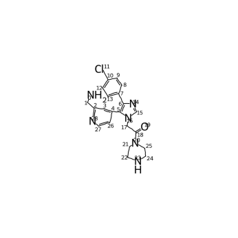 NCc1cc(-c2c(-c3ccc(Cl)cc3)ncn2CC(=O)N2CCNCC2)ccn1